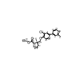 Cc1cc(-c2cc(Cl)c(OC[C@](C)(CC(C)C)NC(=O)OC(C)(C)C)cn2)ccn1